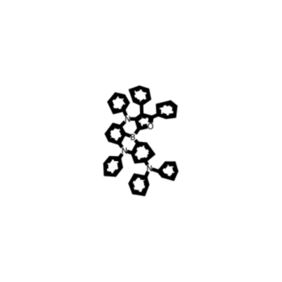 c1ccc(-c2oc3c(c2-c2ccccc2)N(c2ccccc2)c2cccc4c2B3c2ccc(N(c3ccccc3)c3ccccc3)cc2N4c2ccccc2)cc1